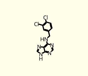 Clc1ccc(CNc2ncnc3[nH]cnc23)cc1Cl